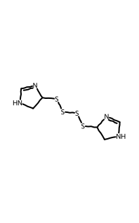 C1=NC(SSSSC2CNC=N2)CN1